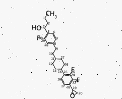 CCCC(O)c1ccc(CCC2CCC(c3ccc(C4CO4)c(F)c3F)CC2)cc1F